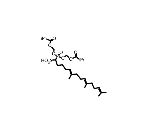 CC(C)=CCC/C(C)=C/CC/C(C)=C/CCCC(P(=O)(OCOC(=O)C(C)C)OCOC(=O)C(C)C)S(=O)(=O)O